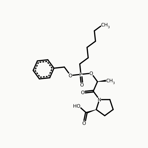 CCCCCCP(=O)(OCc1ccccc1)O[C@@H](C)C(=O)N1CCC[C@H]1C(=O)O